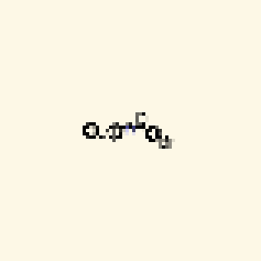 O=C(/C=C/C1CCN(Cc2ccccc2)CC1)c1ccc(Br)cc1